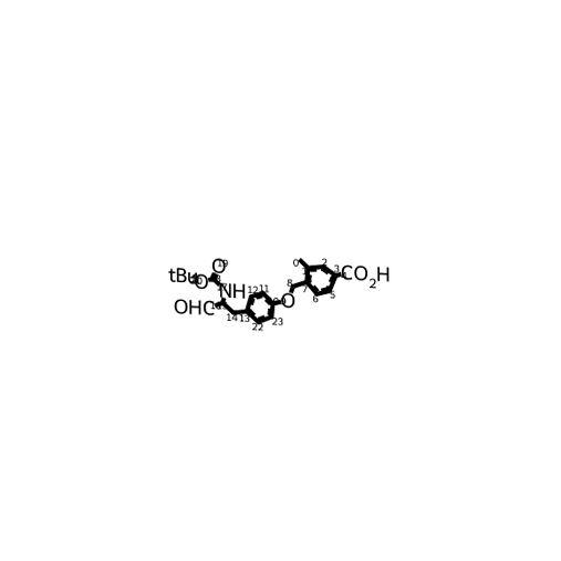 Cc1cc(C(=O)O)ccc1COc1ccc(CC(C=O)NC(=O)OC(C)(C)C)cc1